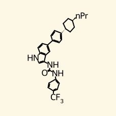 CCC[C@H]1CC[C@H](c2ccc(-c3ccc4[nH]cc(NC(=O)Nc5ccc(C(F)(F)F)cc5)c4c3)cc2)CC1